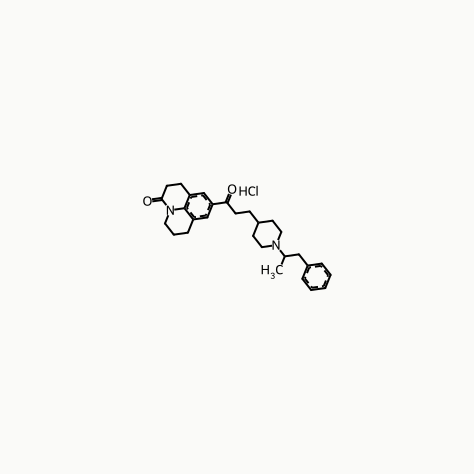 CC(Cc1ccccc1)N1CCC(CCC(=O)c2cc3c4c(c2)CCC(=O)N4CCC3)CC1.Cl